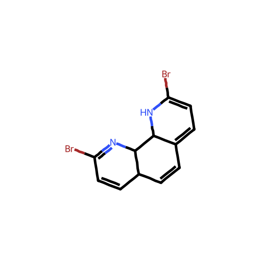 BrC1=CC=C2C=CC3C=CC(Br)=NC3C2N1